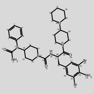 NC(=O)N(c1ccccc1)C1CCN(C(=O)N[C@H](Cc2cc(Br)c(N)c(Br)c2)C(=O)N2CCC(N3CCCCC3)CC2)CC1